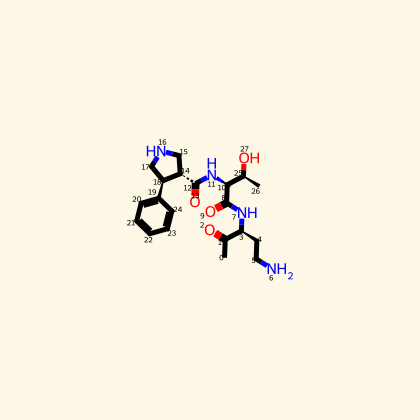 CC(=O)[C@H](CCN)NC(=O)[C@@H](NC(=O)[C@H]1CNC[C@@H]1c1ccccc1)[C@H](C)O